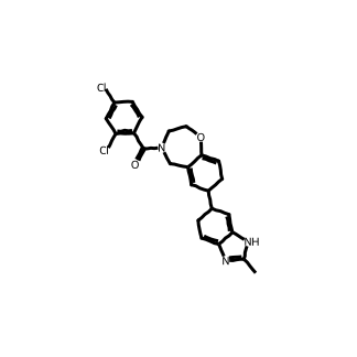 Cc1nc2c([nH]1)=CC(C1C=C3CN(C(=O)c4ccc(Cl)cc4Cl)CCOC3=CC1)CC=2